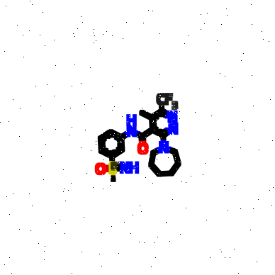 Cc1c(C(F)(F)F)nnc(N2CCCCCC2)c1C(=O)Nc1cccc([S@](C)(=N)=O)c1